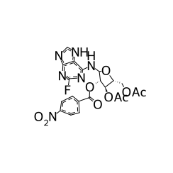 CC(=O)OC[C@H]1OC(Nc2nc(F)nc3nc[nH]c23)[C@@H](OC(=O)c2ccc([N+](=O)[O-])cc2)[C@@H]1OC(C)=O